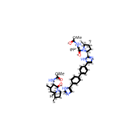 COC(=O)N[C@H](C(=O)N1[C@H](c2ncc(-c3ccc(-c4ccc(-c5cnc([C@@H]6C[C@@H](C)[C@@H]7CC(C)[C@H](NC(=O)OC)C(=O)N67)[nH]5)cc4)cc3)[nH]2)C[C@@H](C)[C@@H]1C)C(C)C